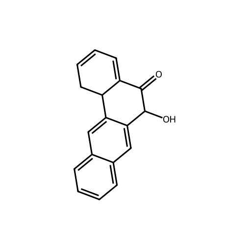 O=C1C2=CC=CCC2c2cc3ccccc3cc2C1O